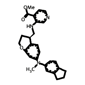 COC(=O)c1ccncc1NC[C@@H]1CCOc2cc(N(C)c3ccc4c(c3)CCC4)ccc21